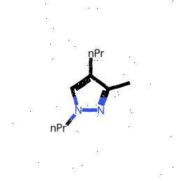 CCCc1cn(CCC)nc1C